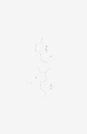 CCCCCCCCCC1(CCCCCCCC)c2cc(Br)ccc2-c2cc3c(cc21)-c1ccc(Br)cc1C3(CCCCCCCC)CCCCCCCC